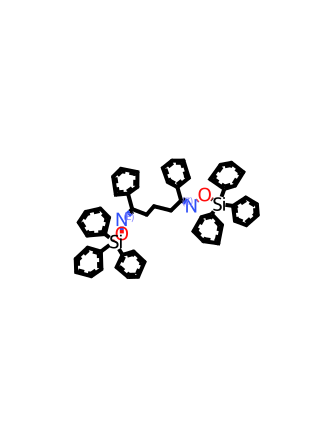 c1ccc(/C(CCC/C(=N\O[Si](c2ccccc2)(c2ccccc2)c2ccccc2)c2ccccc2)=N\O[Si](c2ccccc2)(c2ccccc2)c2ccccc2)cc1